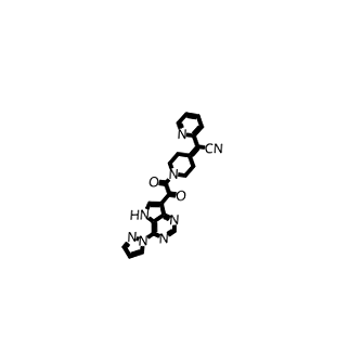 N#CC(=C1CCN(C(=O)C(=O)c2c[nH]c3c(-n4cccn4)ncnc23)CC1)c1ccccn1